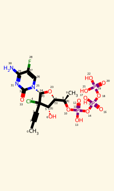 CC#CC1(Cl)[C@@H](O)[C@@H]([C@@H](C)OP(=O)(O)OP(=O)(O)OP(=O)(O)O)O[C@H]1n1cc(F)c(N)nc1=O